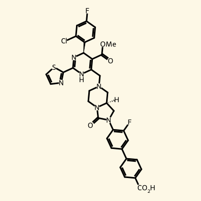 COC(=O)C1=C(CN2CCN3C(=O)N(c4ccc(-c5ccc(C(=O)O)cc5)cc4F)C[C@@H]3C2)NC(c2nccs2)=N[C@H]1c1ccc(F)cc1Cl